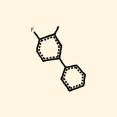 Cc1cc(-c2ccccc2)ccc1F